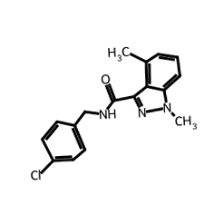 Cc1cccc2c1c(C(=O)NCc1ccc(Cl)cc1)nn2C